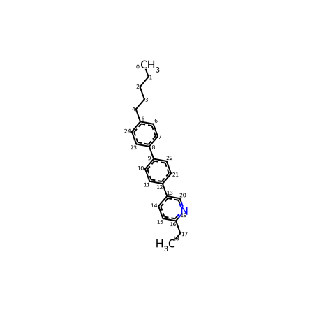 CCCCCc1ccc(-c2ccc(-c3ccc(CC)nc3)cc2)cc1